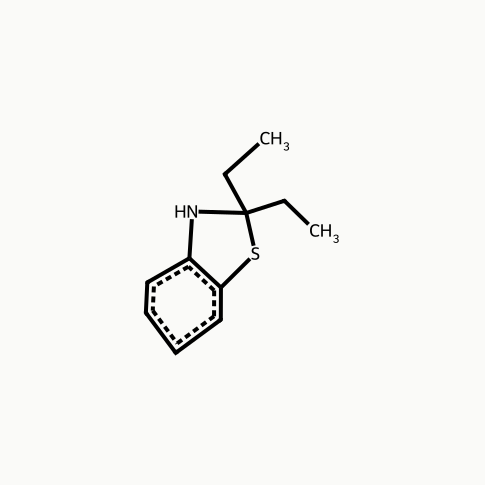 CCC1(CC)Nc2ccccc2S1